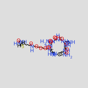 CC(C)[C@H]1NC(=O)[C@@H](CO)NC(=O)[C@@H](CC(N)=O)NC(=O)[C@@H](NC(=O)COCCOCCOCCNC(=O)CCCC[C@H]2SC[C@H]3NC(=O)N[C@H]32)Cc2cn(nn2)CCCC[C@@H](C(N)=O)NC(=O)CNC(=O)[C@@H](Cc2c[nH]cn2)NC1=O